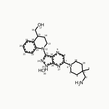 CC1(CN)CCN(c2cnc3c(N4CCC(CO)c5ccccc54)n[nH]c3n2)CC1.Cl